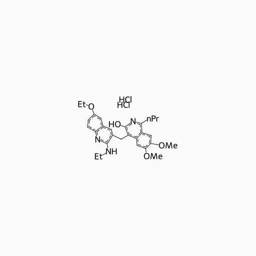 CCCc1nc(O)c(Cc2cc3cc(OCC)ccc3nc2NCC)c2cc(OC)c(OC)cc12.Cl.Cl